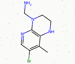 Cc1c(Br)cnc2c1NCCN2CN